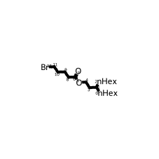 CCCCCCC(CCCCCC)CCOC(=O)CCCCBr